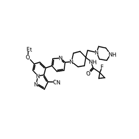 CCOc1cc(-c2ccc(N3CCC(CN4CCNCC4)(NC(=O)C4(F)CC4)CC3)nc2)c2c(C#N)cnn2c1